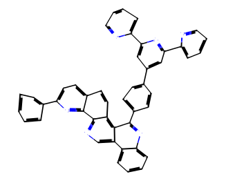 c1ccc(-c2ccc3ccc4c(ncc5c6ccccc6nc(-c6ccc(-c7cc(-c8ccccn8)nc(-c8ccccn8)c7)cc6)c54)c3n2)cc1